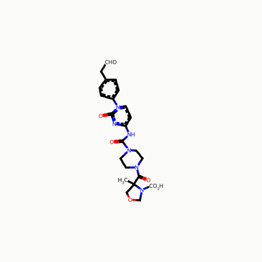 CC1(C(=O)N2CCN(C(=O)Nc3ccn(-c4ccc(CC=O)cc4)c(=O)n3)CC2)COCN1C(=O)O